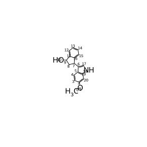 COc1ccc2c(C3CC(O)c4ccccc43)c[nH]c2c1